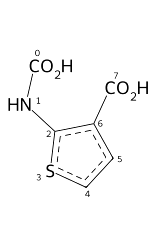 O=C(O)Nc1sccc1C(=O)O